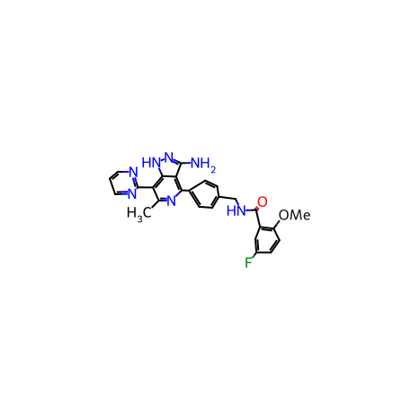 COc1ccc(F)cc1C(=O)NCc1ccc(-c2nc(C)c(-c3ncccn3)c3[nH]nc(N)c23)cc1